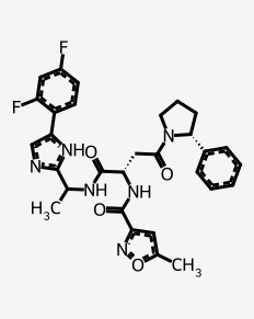 Cc1cc(C(=O)N[C@@H](CC(=O)N2CCC[C@@H]2c2ccccc2)C(=O)NC(C)c2ncc(-c3ccc(F)cc3F)[nH]2)no1